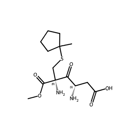 COC(=O)[C@@](N)(CSC1(C)CCCC1)C(=O)[C@@H](N)CC(=O)O